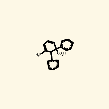 O=C(O)C1(c2ccccc2)C=CC=C(P)C1c1ccccc1